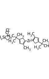 C1C[SiH2]C1.CC1=[C]([Zr+2][C]2=C(C)C=C(C(C)(C)C)C2)CC(C(C)(C)C)=C1.[Cl-].[Cl-]